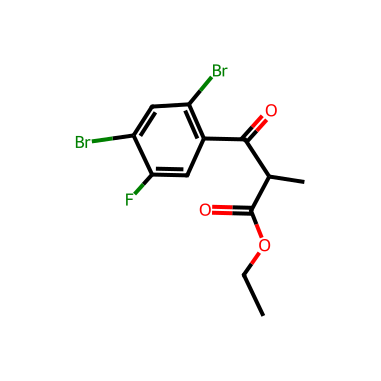 CCOC(=O)C(C)C(=O)c1cc(F)c(Br)cc1Br